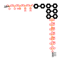 O=[PH]([O-])O.O=[PH]([O-])O.O=[PH]([O-])O.O=[PH]([O-])O.O=[PH]([O-])O.O=[PH]([O-])O.O=[PH]([O-])O.O=[PH]([O-])O.[O-]P([O-])[O-].[O-]P([O-])[O-].[O-]P([O-])[O-].[O-]P([O-])[O-].[Zr+4].[Zr+4].[Zr+4].[Zr+4].[Zr+4].c1ccc(-c2ccccc2)cc1.c1ccc(-c2ccccc2)cc1.c1ccc(-c2ccccc2)cc1.c1ccc(-c2ccccc2)cc1